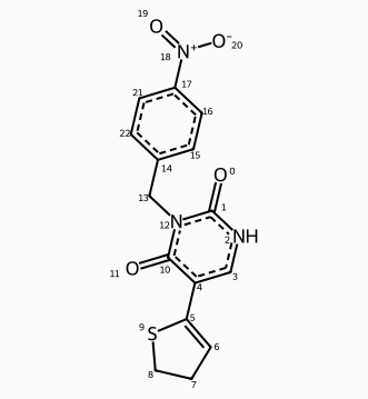 O=c1[nH]cc(C2=CCCS2)c(=O)n1Cc1ccc([N+](=O)[O-])cc1